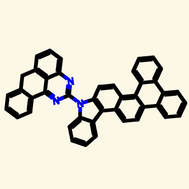 c1ccc2c(c1)Cc1cccc3nc(-n4c5ccccc5c5c6ccc7c8ccccc8c8ccccc8c7c6ccc54)nc-2c13